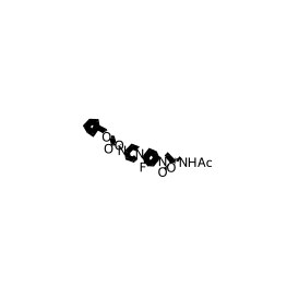 CC(=O)NC[C@H]1CN(c2ccc(N3CCC(=NOC(=O)COCc4ccccc4)CC3)c(F)c2)C(=O)O1